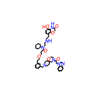 O=C1COc2c(CCNCCN(C(=O)CCOCCc3cccc(CN4CCC5(CC4)CN(C(=O)Cn4cnc6ccccc64)CCO5)c3)C3CCCCC3)ccc(O)c2N1